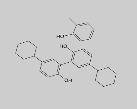 Cc1ccccc1O.Oc1ccc(C2CCCCC2)cc1-c1cc(C2CCCCC2)ccc1O